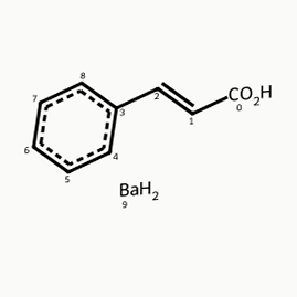 O=C(O)C=Cc1ccccc1.[BaH2]